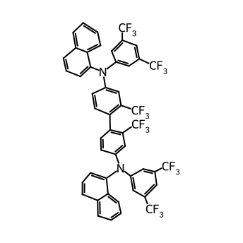 FC(F)(F)c1cc(N(c2ccc(-c3ccc(N(c4cc(C(F)(F)F)cc(C(F)(F)F)c4)c4cccc5ccccc45)cc3C(F)(F)F)c(C(F)(F)F)c2)c2cccc3ccccc23)cc(C(F)(F)F)c1